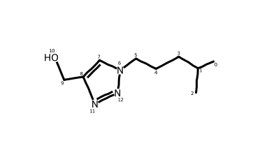 CC(C)CCCn1cc(CO)nn1